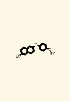 C[CH]c1ccc2cc(Oc3ccc(OC(C)C)cc3)ccc2c1